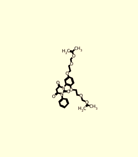 C=C(C)OCOCCOc1ccc(OCCOCOC(=C)C)c(N2C(=O)CC(=O)N(c3ccccc3)C2=O)c1